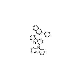 c1ccc(-c2cc(-c3cccc4oc5c(-n6c7ccccc7c7ccccc76)cccc5c34)c3ccccc3c2)cc1